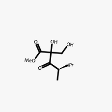 COC(=O)C(O)(CO)C(=O)[C@H](C)C(C)C